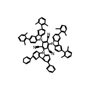 Cc1cccc(C)c1-c1ccc2c(c1)c1cc(-c3c(C)cccc3C)ccc1n2-c1c(C#N)c(-n2c3ccc(C4=CCCC=C4)cc3c3cc(-c4ccccc4)ccc32)c(C#N)c(-n2c3ccc(-c4c(C)cccc4C)cc3c3cc(-c4c(C)cccc4C)ccc32)c1C#N